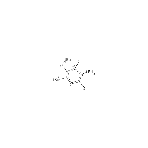 Bc1c(C)cc(C(C)(C)C)c(CC(C)(C)C)c1C